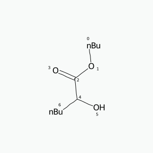 CCCCOC(=O)C(O)CCCC